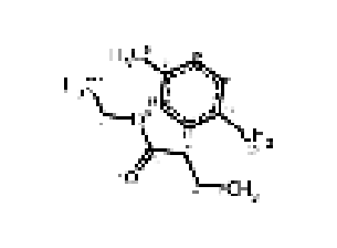 CCCC(=O)OCC.Cc1ccc(C)cc1